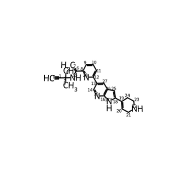 C#CC(C)(C)NC(=C)c1cccc(-c2cnc3[nH]c(C4=CCNCC4)cc3c2)n1